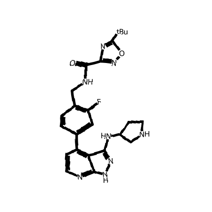 CC(C)(C)c1nc(C(=O)NCc2ccc(-c3ccnc4[nH]nc(NC5CCNC5)c34)cc2F)no1